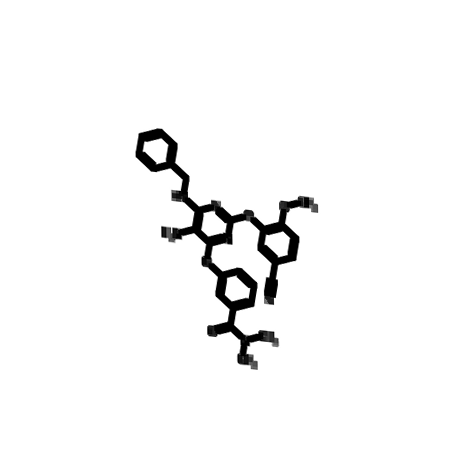 COc1ccc(C#N)cc1Oc1nc(NCc2ccccc2)c(N)c(Oc2cccc(C(=O)N(C)C)c2)n1